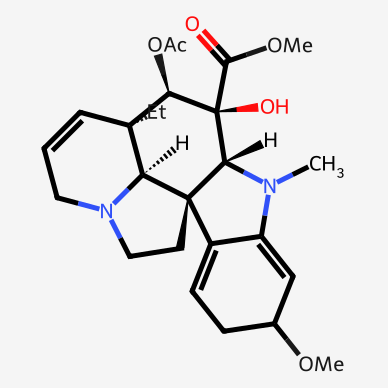 CC[C@]12C=CCN3CC[C@@]4(C5=CCC(OC)C=C5N(C)[C@H]4[C@@](O)(C(=O)OC)[C@@H]1OC(C)=O)[C@@H]32